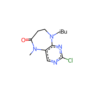 CCC(C)N1CCC(=O)N(C)c2cnc(Cl)nc21